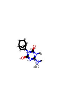 CCN(C)c1nc(=O)n(C2CC3CCC2C3)c(=O)n1C